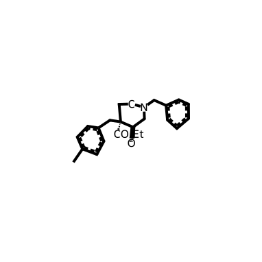 CCOC(=O)[C@]1(Cc2ccc(C)cc2)CCN(Cc2ccccc2)CC1=O